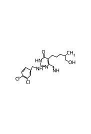 CC(CO)CCCc1c(C=N)nc(NCc2ccc(Cl)c(Cl)c2)[nH]c1=O